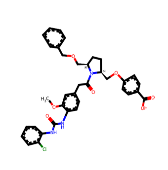 COc1cc(CC(=O)N2[C@@H](COCc3ccccc3)CC[C@H]2COc2ccc(C(=O)O)cc2)ccc1NC(=O)Nc1ccccc1Cl